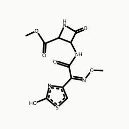 CO/N=C(\C(=O)NC1C(=O)NC1C(=O)OC)c1csc(O)n1